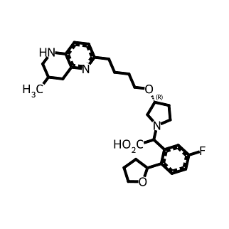 CC1CNc2ccc(CCCCO[C@@H]3CCN(C(C(=O)O)c4cc(F)ccc4C4CCCO4)C3)nc2C1